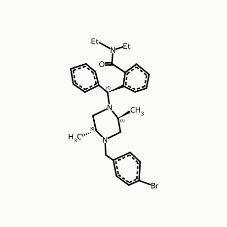 CCN(CC)C(=O)c1ccccc1[C@H](c1ccccc1)N1C[C@@H](C)N(Cc2ccc(Br)cc2)C[C@@H]1C